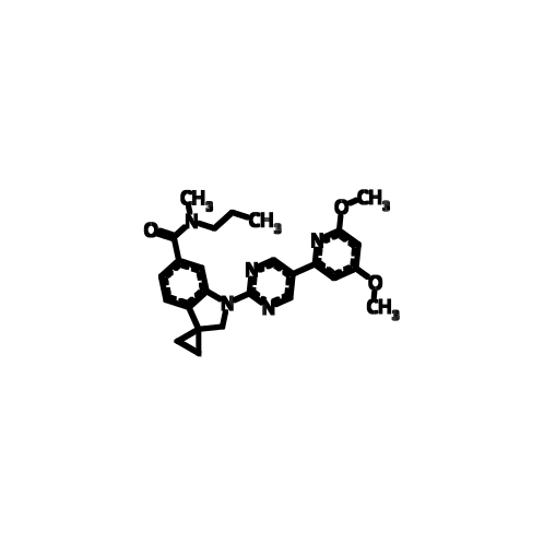 CCCN(C)C(=O)c1ccc2c(c1)N(c1ncc(-c3cc(OC)cc(OC)n3)cn1)CC21CC1